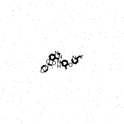 Cc1cc(Nc2ncnc3cccc(O[C@H](C)C(=O)N4CCOCC4)c23)ccc1Oc1ccc(CF)nc1